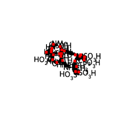 CC[N+]1=C(/C=C/C=C/C=C2/N(CCCCCC(=O)NCCCC[C@@H]3NC(=O)CSC[C@@H](C(=O)NC)NC(=O)[C@H](Cc4ccccc4)NC(=O)[C@@H]4CSSC[C@H](NC3=O)C(=O)N[C@@H](CCCNC(=N)N)C(=O)NCC(=O)N[C@@H](CC(=O)O)C(=O)N4)c3ccc4c(S(=O)(=O)O)cc(S(=O)(=O)O)cc4c3C2(C)C)C(C)(C)c2c1ccc1c(S(=O)(=O)O)cc(S(=O)(=O)O)cc21